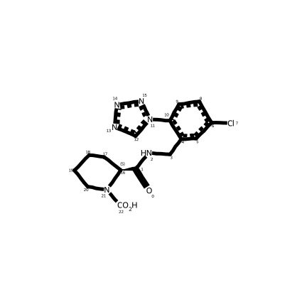 O=C(NCc1cc(Cl)ccc1-n1cnnn1)[C@@H]1CCCCN1C(=O)O